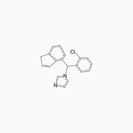 Clc1ccccc1C(c1cccc2c1C=CC2)n1ccnc1